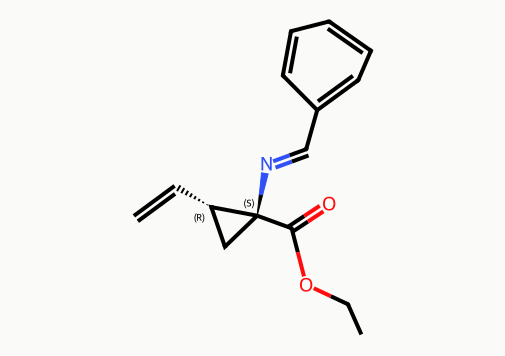 C=C[C@H]1C[C@@]1(N=Cc1ccccc1)C(=O)OCC